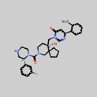 COc1ccccc1-c1cc(=O)n(C[C@]2(O)CCN(C(=O)N3CCNC[C@H]3c3cccc(F)c3)CC23CCCC3)cn1